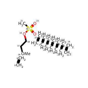 C=C.C=C.C=C.C=C.C=C.C=C.C=C.C=C.COCCOS(C)(=O)=O